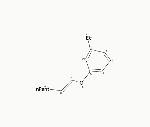 C[CH]c1cccc(O/C=C/CCCCC)c1